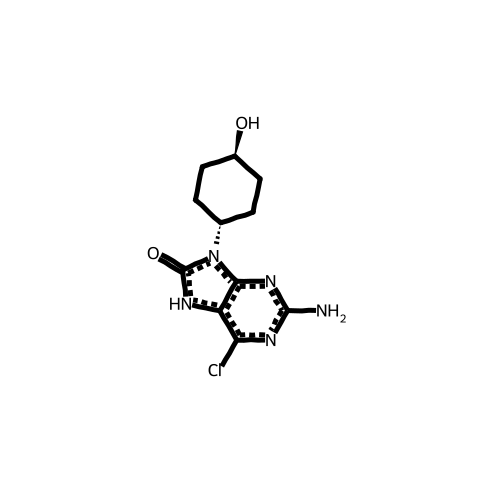 Nc1nc(Cl)c2[nH]c(=O)n([C@H]3CC[C@H](O)CC3)c2n1